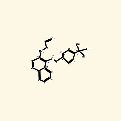 O=CCNc1ccc2ccccc2c1OCc1ccc(C(F)(F)F)cc1